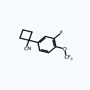 N#CC1(c2ccc(OC(F)(F)F)c(F)c2)CCC1